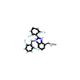 [CH2]OCc1cccc2c1nc(-c1c(F)cccc1F)n2Cc1c(F)cccc1F